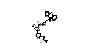 COc1nc(-c2ccnc(NC(=O)C3CC3)c2)sc1C(=O)NCCCNc1c2c(nc3ccccc13)CCCC2